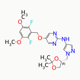 COc1cc(OC)c(F)c(COc2cnc(Nc3cnn(C[C@@H]4COC(C)(C)O4)c3)nc2)c1F